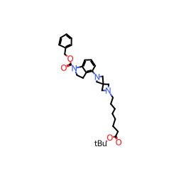 CC(C)(C)OC(=O)CCCCCCCN1CC2(C1)CN(c1cccc3c1CCN3C(=O)OCc1ccccc1)C2